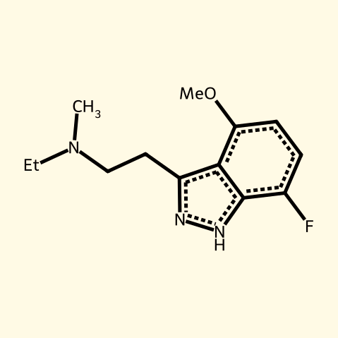 CCN(C)CCc1n[nH]c2c(F)ccc(OC)c12